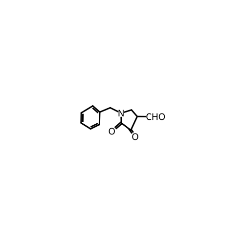 O=CC1CN(Cc2ccccc2)C(=O)C1=O